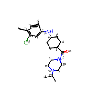 Cc1ccc(N[C@H]2CC[C@H](C(=O)N3CCN(C(C)C)CC3)CC2)cc1Cl